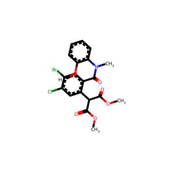 COC(=O)C(C(=O)OC)c1cc(Cl)c(Br)cc1C(=O)N(C)c1ccccc1OC